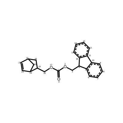 O=C(OCC1c2ccccc2-c2ccccc21)OCC1CC2C=CC1C2